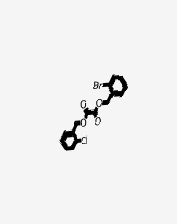 O=C(OCc1ccccc1Cl)C(=O)OCc1ccccc1Br